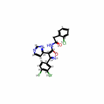 O=C(Cc1ccccc1Cl)Nc1onc(-c2ccc(F)c(Br)c2)c1-c1ccncn1